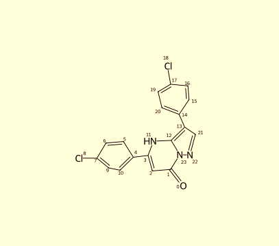 O=c1cc(-c2ccc(Cl)cc2)[nH]c2c(-c3ccc(Cl)cc3)cnn12